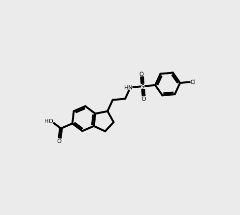 O=C(O)c1ccc2c(c1)CCC2CCNS(=O)(=O)c1ccc(Cl)cc1